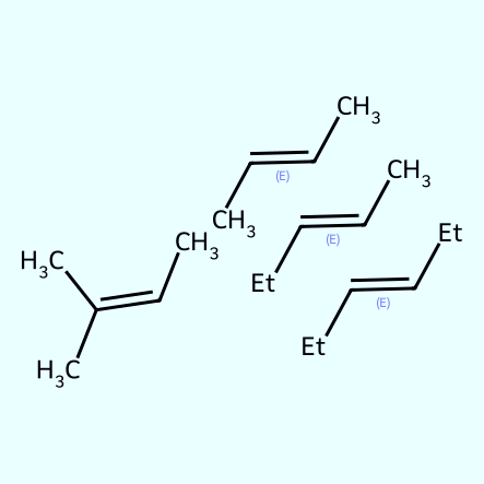 C/C=C/C.C/C=C/CC.CC/C=C/CC.CC=C(C)C